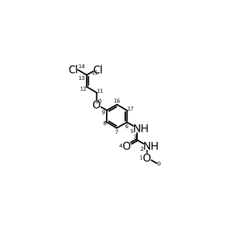 CONC(=O)Nc1ccc(OCC=C(Cl)Cl)cc1